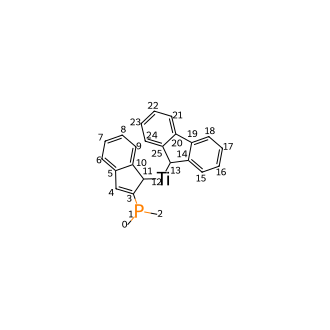 CP(C)C1=Cc2ccccc2[CH]1[Ti][CH]1c2ccccc2-c2ccccc21